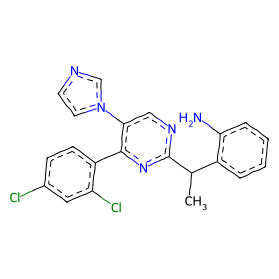 CC(c1ncc(-n2ccnc2)c(-c2ccc(Cl)cc2Cl)n1)c1ccccc1N